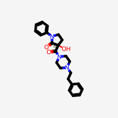 O=C(N1CCN(CCc2ccccc2)CC1)[C@@]1(O)CCN(c2ccccc2)C1=O